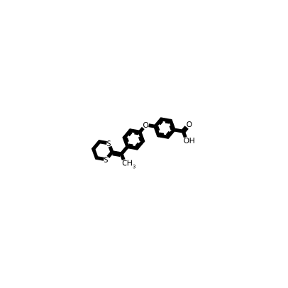 CC(=C1SCCCS1)c1ccc(Oc2ccc(C(=O)O)cc2)cc1